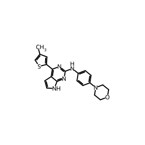 Cc1csc(-c2nc(Nc3ccc(N4CCOCC4)cc3)nc3[nH]ccc23)c1